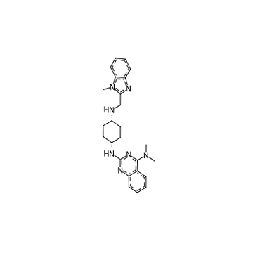 CN(C)c1nc(N[C@H]2CC[C@@H](NCc3nc4ccccc4n3C)CC2)nc2ccccc12